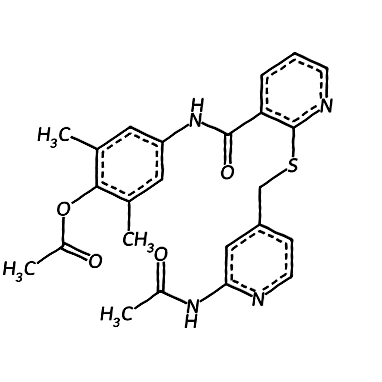 CC(=O)Nc1cc(CSc2ncccc2C(=O)Nc2cc(C)c(OC(C)=O)c(C)c2)ccn1